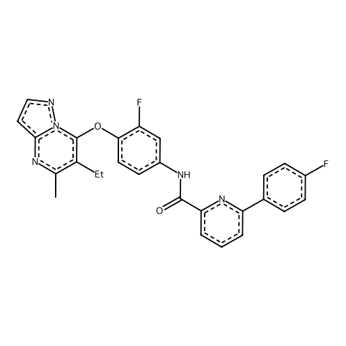 CCc1c(C)nc2ccnn2c1Oc1ccc(NC(=O)c2cccc(-c3ccc(F)cc3)n2)cc1F